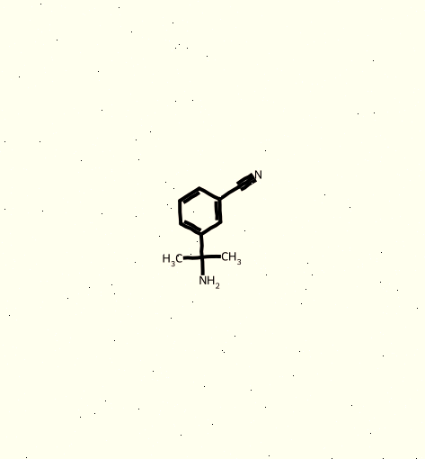 CC(C)(N)c1cccc(C#N)c1